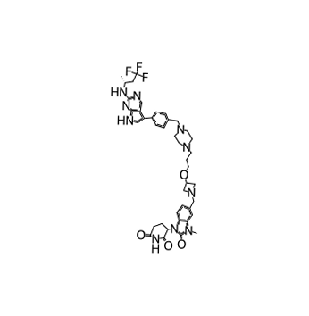 C[C@H](CC(F)(F)F)Nc1ncc2c(-c3ccc(CN4CCN(CCCOC5CN(Cc6ccc7c(c6)n(C)c(=O)n7C6CCC(=O)NC6=O)C5)CC4)cc3)c[nH]c2n1